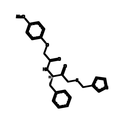 COc1ccc(OCC(=O)N[C@@H](Cc2ccccc2)C(=O)CSCc2ccsc2)cc1